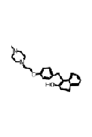 CN1CCN(CCOc2ccc(Cc3c(O)ccc4ccccc34)cc2)CC1